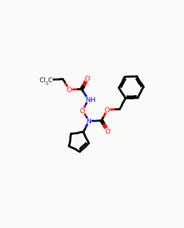 O=C(NON(C(=O)OCc1ccccc1)C1C=CCC1)OCC(Cl)(Cl)Cl